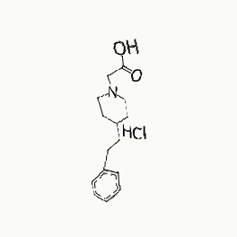 Cl.O=C(O)CN1CCC(CCc2ccccc2)CC1